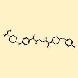 O=C(NCCNC(=O)N1CCC(Oc2ccc(F)cc2)CC1)c1ccc(O[C@H]2CC[C@@H](C(=O)O)CC2)cc1